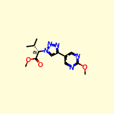 COC(=O)[C@H](C(C)C)n1cc(-c2cnc(OC)nc2)nn1